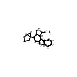 C=C1OCc2c(C34CCCC3C4)cc3oc4ccccc4c3c21